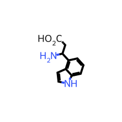 NC(CC(=O)O)c1cccc2[nH]ccc12